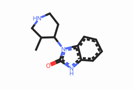 CC1CNCCC1n1c(=O)[nH]c2ccccc21